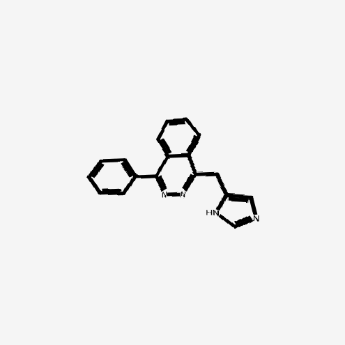 c1ccc(-c2nnc(Cc3cnc[nH]3)c3ccccc23)cc1